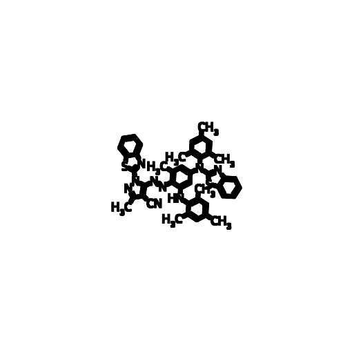 Cc1cc(C)c(Nc2cc(N(c3nc4ccccc4s3)c3c(C)cc(C)cc3C)cc(C)c2N=Nc2c(C#N)c(C)nn2-c2nc3ccccc3s2)c(C)c1